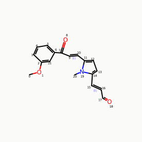 COc1cccc(C(=O)/C=C/c2ccc(/C=C/C=O)n2C)c1